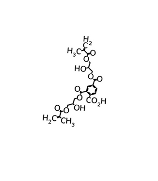 C=C(C)C(=O)OCC(O)COC(=O)c1ccc(C(=O)O)c(C(=O)OCC(O)COC(=O)C(=C)C)c1